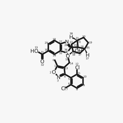 Cc1onc(-c2c(Cl)cccc2Cl)c1CO[C@@H]1C[C@H]2CC[C@@H](C1)[C@]2(O)c1nc2ccc(C(=O)O)cc2s1